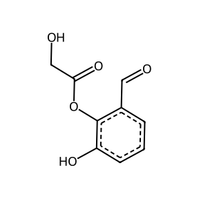 O=Cc1cccc(O)c1OC(=O)CO